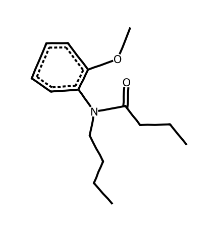 CCCCN(C(=O)CCC)c1ccccc1OC